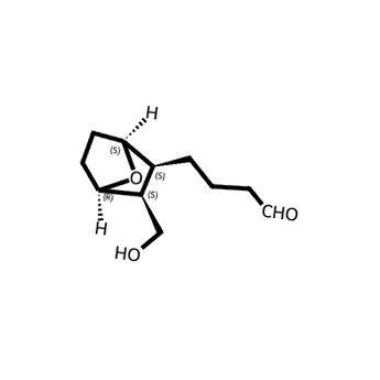 O=CCCC[C@H]1[C@@H](CO)[C@H]2CC[C@@H]1O2